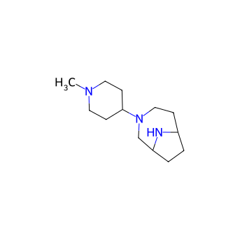 CN1CCC(N2CCC3CCC(C2)N3)CC1